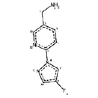 NCc1ccc(-n2cc(F)cn2)nc1